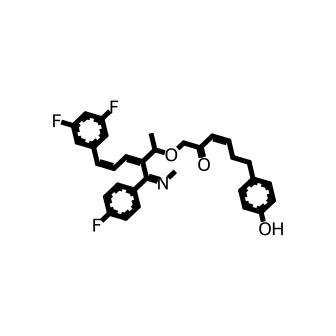 C\N=C(/C(=C\C=C/c1cc(F)cc(F)c1)C(C)OCC(=O)/C=C\CCc1ccc(O)cc1)c1ccc(F)cc1